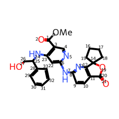 COC(=O)c1cnc(Nc2ccc3c(n2)C2(CCCC2)OC3=O)cc1NC(CO)c1ccccc1